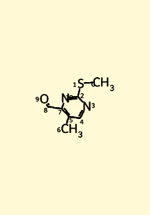 CSc1ncc(C)c(C=O)n1